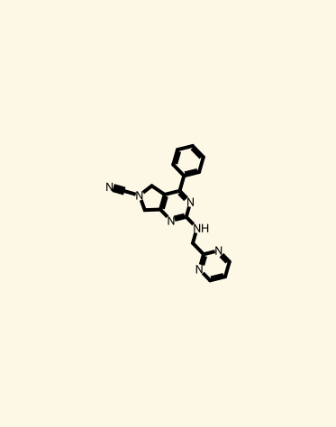 N#CN1Cc2nc(NCc3ncccn3)nc(-c3ccccc3)c2C1